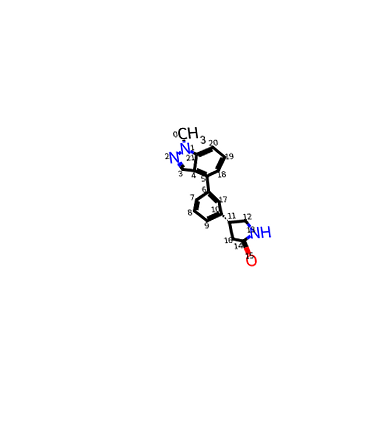 Cn1ncc2c(-c3cccc([C@@H]4CNC(=O)C4)c3)cccc21